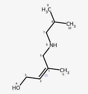 C/C(=C/CO)CNCC(C)C